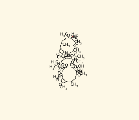 COc1cc2cc(c1Cl)N(C)C(=O)CC(OC(=O)C(C)N(C)C(=O)CCSSCCC(=O)N(C)C(C)C(=O)OC1CC(=O)N(C)c3cc(cc(OC)c3Cl)C/C(C)=C/C=C/C(OC)C3(O)CC(OC(O)N3)C(C)C3OC13C)C1(C)CC(C)(O1)C1CC(O)(NC(=O)O1)C(OC)/C=C/C=C(\C)C2